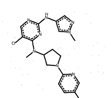 CN(c1nc(Nc2cnn(C)c2)ncc1Cl)C1CCN(c2ccc(C#N)cn2)C1